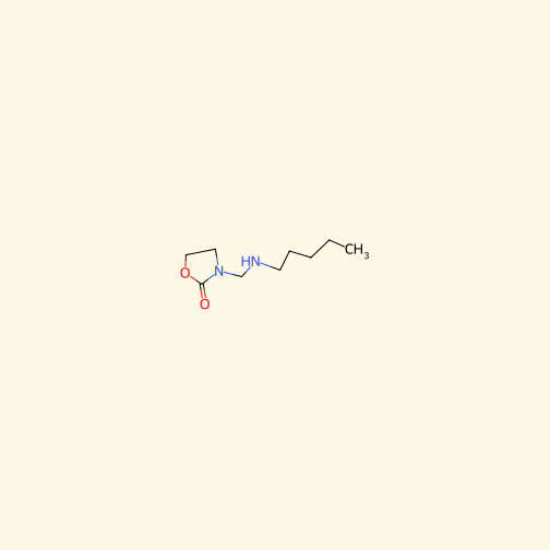 CCCCCNCN1CCOC1=O